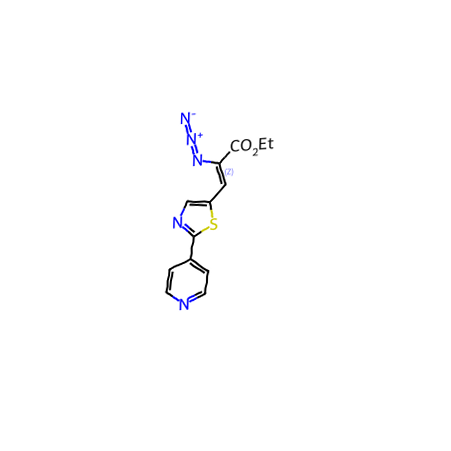 CCOC(=O)/C(=C/c1cnc(-c2ccncc2)s1)N=[N+]=[N-]